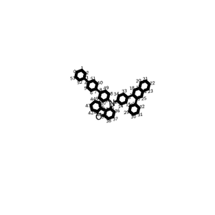 c1ccc(-c2ccc(-c3ccc(N(c4ccc(-c5cc6ccccc6cc5-c5ccccc5)cc4)c4cccc5oc6ccccc6c45)cc3)cc2)cc1